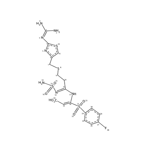 NC(N)=Nc1nc(CSCCC(=NS(N)(=O)=O)NC(=CC(=O)O)S(=O)(=O)c2ccc(F)cc2)cs1